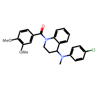 COc1ccc(C(=O)N2CCC(N(C)c3ccc(Cl)cc3)c3ccccc32)cc1OC